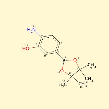 CC1(C)OB(c2ccc(N)c(O)c2)OC1(C)C